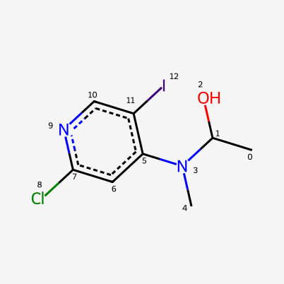 CC(O)N(C)c1cc(Cl)ncc1I